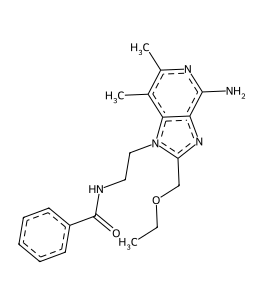 CCOCc1nc2c(N)nc(C)c(C)c2n1CCNC(=O)c1ccccc1